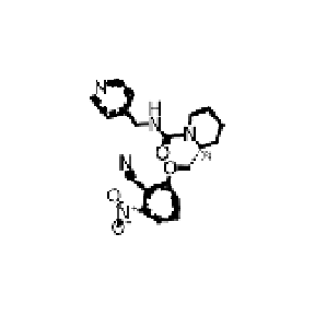 N#Cc1c(OC[C@H]2CCCCN2C(=O)NCc2ccncc2)cccc1[N+](=O)[O-]